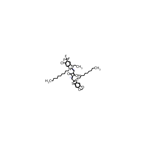 CCCCCCCCCCN1/C(=C\C2=C(O)C(=C\c3sc4cc5c(cc4[n+]3CCCCCCCCCC)OCO5)/C2=O)N(CC)c2cc(C(F)(F)F)c(Cl)cc21